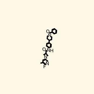 Cc1cc(N2CC(C(=O)Nc3ccc(C4CCN(C(=O)c5ccccc5)CC4)cc3)C2)cnc1F